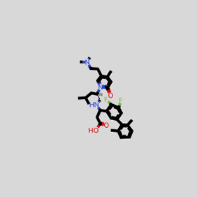 Cc1cc(=O)n([C@H](CNC(CC(=O)O)c2cc(-c3c(C)cccc3C)cc(F)c2F)CC(C)C)cc1CCN(C)C